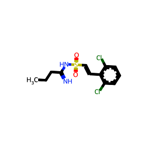 CCCC(=N)NS(=O)(=O)C=Cc1c(Cl)cccc1Cl